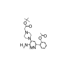 CC(=O)Oc1ccccc1-c1cc(N2CCN(CC(=O)OC(C)(C)C)CC2)c(N)nn1